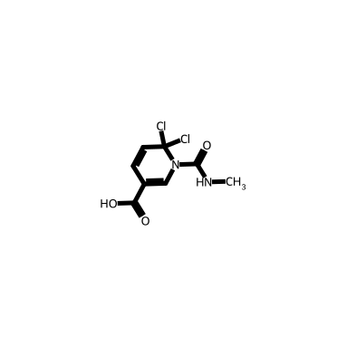 CNC(=O)N1C=C(C(=O)O)C=CC1(Cl)Cl